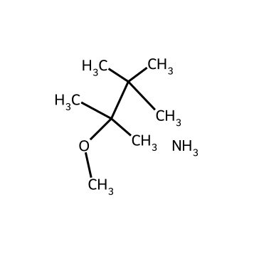 COC(C)(C)C(C)(C)C.N